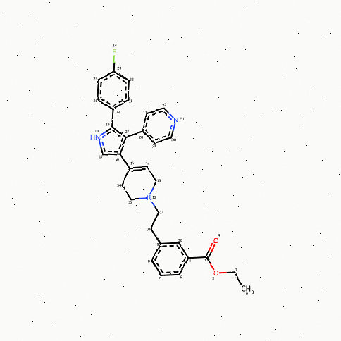 CCOC(=O)c1cccc(CCN2CC=C(c3c[nH]c(-c4ccc(F)cc4)c3-c3ccncc3)CC2)c1